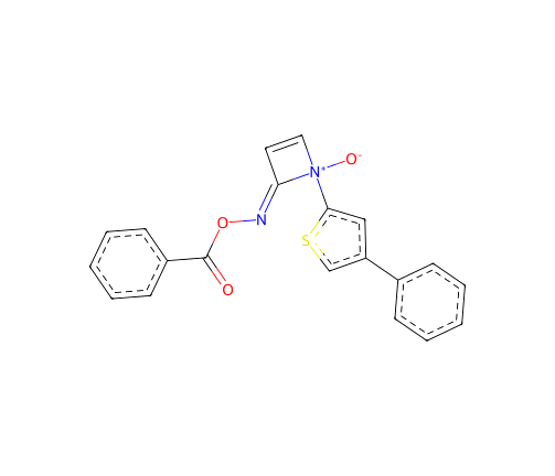 O=C(ON=C1C=C[N+]1([O-])c1cc(-c2ccccc2)cs1)c1ccccc1